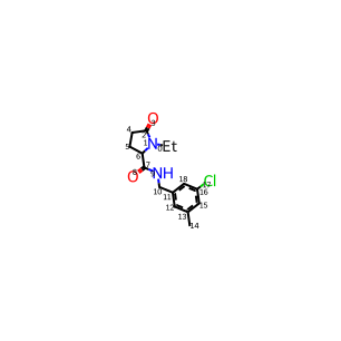 CCN1C(=O)CCC1C(=O)NCc1cc(C)cc(Cl)c1